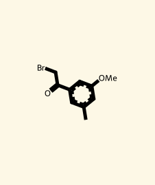 COc1cc(C)cc(C(=O)CBr)c1